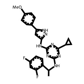 COc1ccc(-c2cc(Nc3nc(NC(C)c4ccc(F)cc4F)nc(C4CC4)n3)n[nH]2)cc1